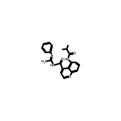 CC(C)C(=O)Nc1cccc2nccc(C(=O)NC(N)=Nc3ccccc3)c12